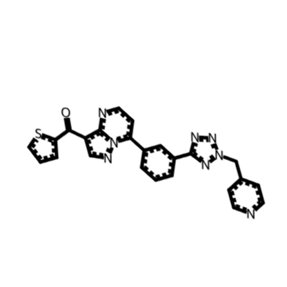 O=C(c1cccs1)c1cnn2c(-c3cccc(-c4nnn(Cc5ccncc5)n4)c3)ccnc12